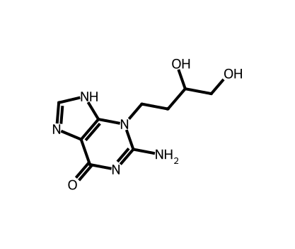 Nc1nc(=O)c2nc[nH]c2n1CCC(O)CO